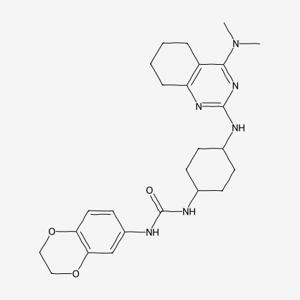 CN(C)c1nc(NC2CCC(NC(=O)Nc3ccc4c(c3)OCCO4)CC2)nc2c1CCCC2